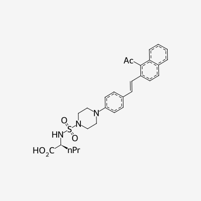 CCC[C@H](NS(=O)(=O)N1CCN(c2ccc(/C=C/c3ccc4ccccc4c3C(C)=O)cc2)CC1)C(=O)O